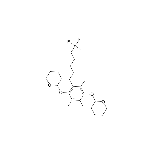 Cc1c(C)c(OC2CCCCO2)c(CCCCCC(F)(F)F)c(C)c1OC1CCCCO1